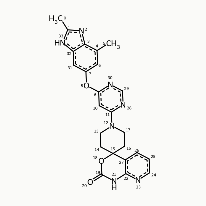 Cc1nc2c(C)cc(Oc3cc(N4CCC5(CC4)OC(=O)Nc4ncccc45)ncn3)cc2[nH]1